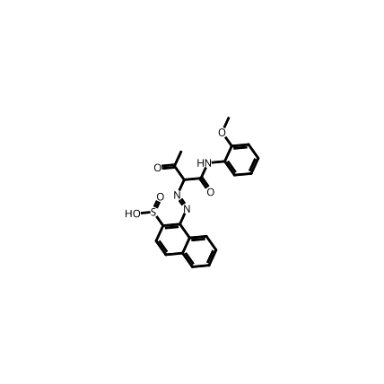 COc1ccccc1NC(=O)C(N=Nc1c(S(=O)O)ccc2ccccc12)C(C)=O